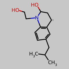 CC(C)Cc1ccc2c(c1)[C]CC(O)N2CCO